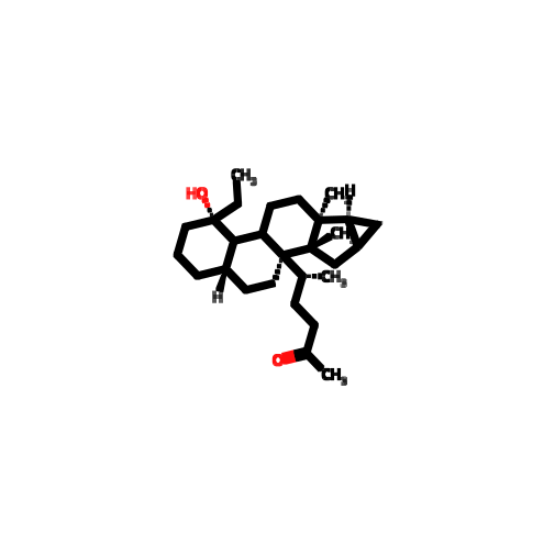 CC[C@]1(O)CCC[C@H]2CC[C@]3([C@H](C)CCC(C)=O)C(CC[C@@]4(C)[C@H]5CC5C[C@@]43C)C21